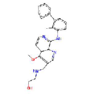 COC1=C(CNCCO)C=NC2C(Nc3cccc(-c4ccccc4)c3C)=NC=CC12